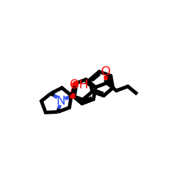 CCCC(=O)c1ccc(N2C3CCC2CC(O)(Cc2ccccc2)C3)cc1